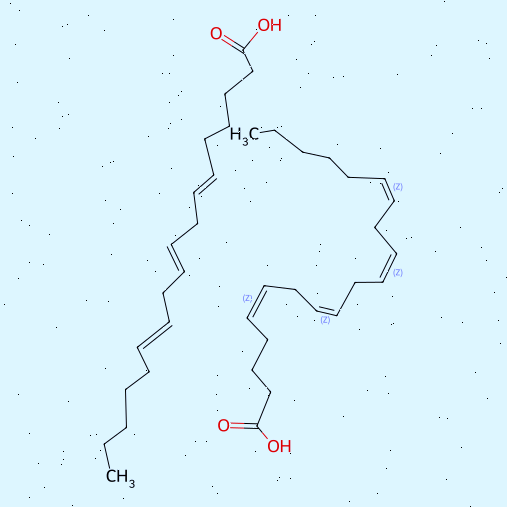 CCCCC/C=C\C/C=C\C/C=C\C/C=C\CCCC(=O)O.CCCCCC=CCC=CCC=CCCCCC(=O)O